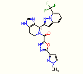 Cn1ccc(-c2nnc(C(=O)N3CCc4[nH]cnc4[C@H]3c3cc4cccc(C(F)(F)F)n4n3)o2)n1